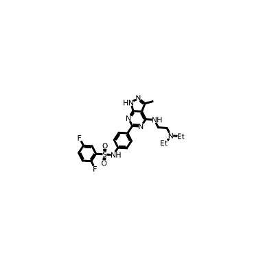 CCN(CC)CCNc1nc(-c2ccc(NS(=O)(=O)c3cc(F)ccc3F)cc2)nc2[nH]nc(C)c12